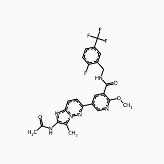 COc1ncc(-c2ccc3nc(NC(C)=O)c(C)n3n2)cc1C(=O)NCc1cc(C(F)(F)F)ccc1F